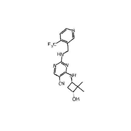 CC1(C)[C@H](O)C[C@H]1Nc1nc(NCc2cnccc2C(F)(F)F)ncc1C#N